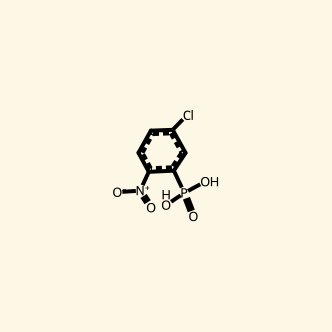 O=[N+]([O-])c1ccc(Cl)cc1P(=O)(O)O